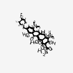 CN(C)c1cc(CN2CCC(F)CC2)c(O)c2c1C[C@H]1C[C@H]3[C@@H](N(C)C)C(O)=C(C(N)=O)C4(O)O[C@]34C(O)=C1C2=O